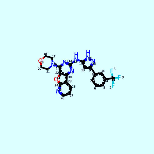 FC(F)(F)c1cccc(-c2cc(Nc3nc(N4CCOCC4)c4oc5ncccc5c4n3)[nH]n2)c1